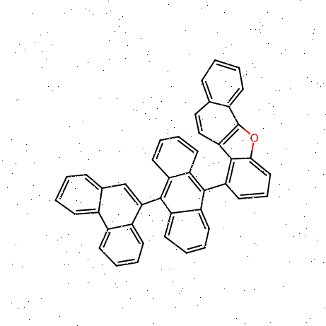 c1ccc2c(c1)cc(-c1c3ccccc3c(-c3cccc4oc5c6ccccc6ccc5c34)c3ccccc13)c1ccccc12